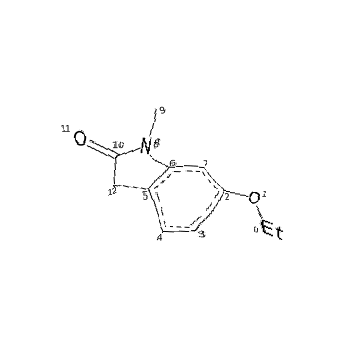 CCOc1ccc2c(c1)N(C)C(=O)C2